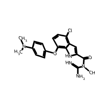 CN(C(=N)N)C(=O)c1cc2c(Cl)ccc(Oc3ccc(N(C)C)cc3)c2[nH]1